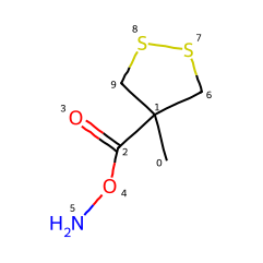 CC1(C(=O)ON)CSSC1